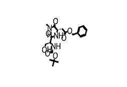 CNC(=O)[C@H](CC(=O)OCc1ccccc1)NC(=O)[C@H](CO)NC(=O)OC(C)(C)C